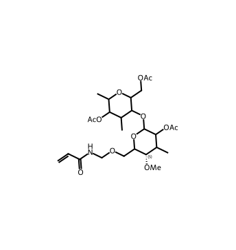 C=CC(=O)NCOCC1OC(OC2C(COC(C)=O)OC(C)C(OC(C)=O)C2C)C(OC(C)=O)C(C)[C@@H]1OC